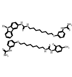 CCn1c2ccccc2c2cc(NC(=S)NCCCCCCCCOc3cccc(NC(N)=S)c3)ccc21.Cc1ccc(NC(=S)NCCCCCCCCOc2cccc(NC(N)=S)c2)c(F)c1